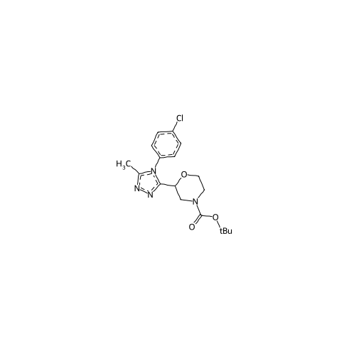 Cc1nnc(C2CN(C(=O)OC(C)(C)C)CCO2)n1-c1ccc(Cl)cc1